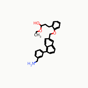 CCOC(O)CCc1ccccc1OCc1ccc2c(-c3cccc(CN)c3)cccc2c1